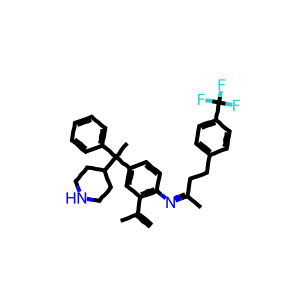 C=C(C)c1cc(C(C)(c2ccccc2)C2CCNCC2)ccc1/N=C(/C)CCc1ccc(C(F)(F)F)cc1